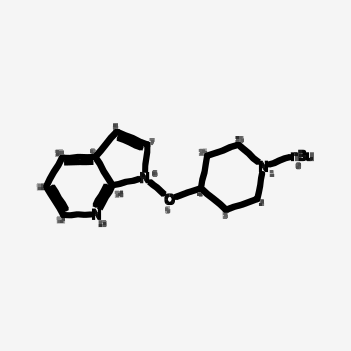 CCCCN1CCC(On2ccc3cccnc32)CC1